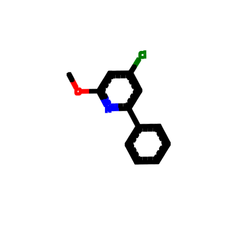 COc1cc(Cl)cc(-c2ccccc2)n1